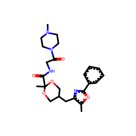 Cc1oc(-c2ccccc2)nc1CC1COC(C)(C(=O)NCC(=O)N2CCN(C)CC2)OC1